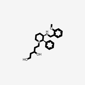 COc1ccccc1CN[C@@H]1CCCN(CCC(O)CCO)[C@@H]1c1ccccc1